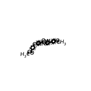 COC(=O)C1CCC(Oc2ccc(C(=O)Nc3ccc(-c4ccc(OC)cc4)nn3)cc2)CC1